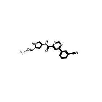 COC[C@@H]1C[C@@H](NC(=O)c2cc(-c3cccc(C#N)c3)ncn2)CN1